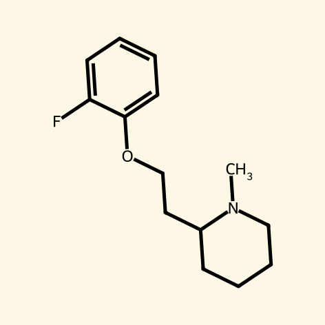 CN1CCCCC1CCOc1ccccc1F